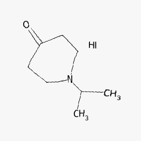 CC(C)N1CCC(=O)CC1.I